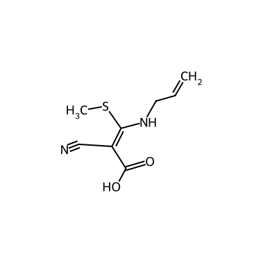 C=CCNC(SC)=C(C#N)C(=O)O